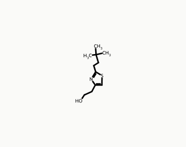 CC(C)(C)CCc1nc(CCO)cs1